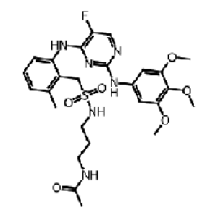 COc1cc(Nc2ncc(F)c(Nc3cccc(C)c3CS(=O)(=O)NCCCNC(C)=O)n2)cc(OC)c1OC